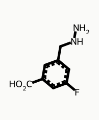 NNCc1cc(F)cc(C(=O)O)c1